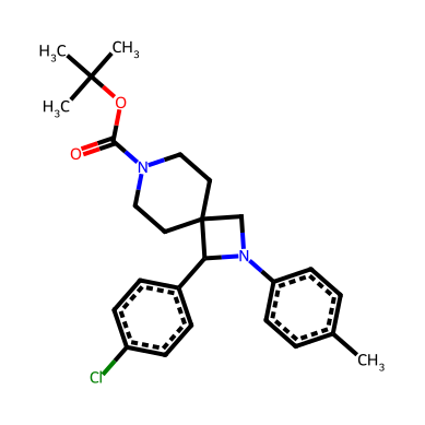 Cc1ccc(N2CC3(CCN(C(=O)OC(C)(C)C)CC3)C2c2ccc(Cl)cc2)cc1